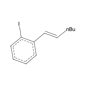 CCCCC=Cc1ccccc1I